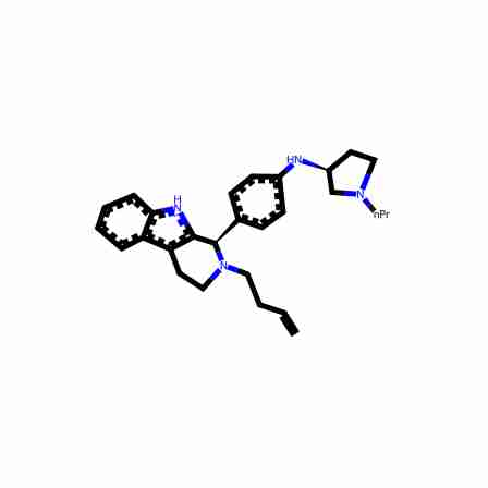 C=CCCN1CCc2c([nH]c3ccccc23)[C@H]1c1ccc(N[C@H]2CCN(CCC)C2)cc1